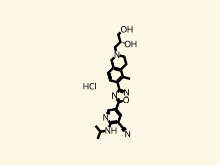 Cc1c(-c2noc(-c3cnc(NC(C)C)c(C#N)c3)n2)ccc2c1CCN(C[C@@H](O)CO)C2.Cl